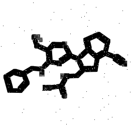 COc1cnc(-n2c(CNC(=O)O)cc3c(C#N)cccc32)nc1NCc1ccccc1